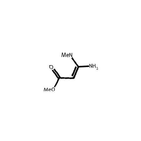 CN/C(N)=C\C(=O)OC